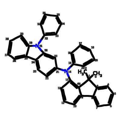 CC1(C)c2ccccc2-c2cccc(N(c3ccccc3)c3ccc4c5ccccc5n(-c5ccccc5)c4c3)c21